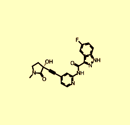 CN1CC[C@@](O)(C#Cc2ccnc(NC(=O)c3n[nH]c4ccc(F)cc34)c2)C1=O